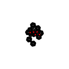 c1ccc(-c2cccc(-n3c4ccccc4c4cc(-n5c6ccccc6c6cccc([Si](c7ccccc7)(c7ccccc7)c7ccccc7)c65)c(-c5ccccc5)cc43)c2)cc1